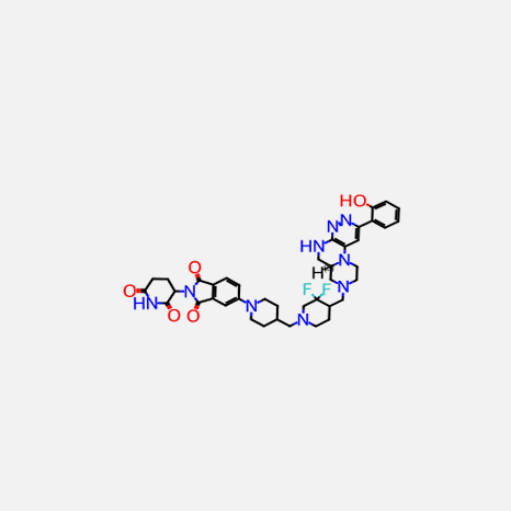 O=C1CCC(N2C(=O)c3ccc(N4CCC(CN5CCC(CN6CCN7c8cc(-c9ccccc9O)nnc8NC[C@H]7C6)C(F)(F)C5)CC4)cc3C2=O)C(=O)N1